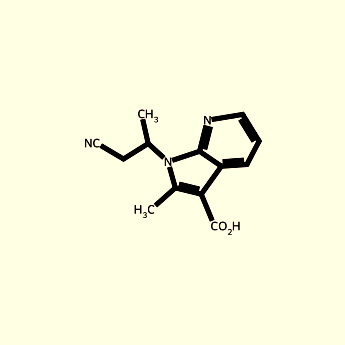 Cc1c(C(=O)O)c2cccnc2n1C(C)CC#N